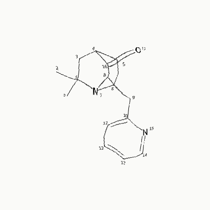 CC1(C)CC2CCN1C(Cc1ccccn1)C2=O